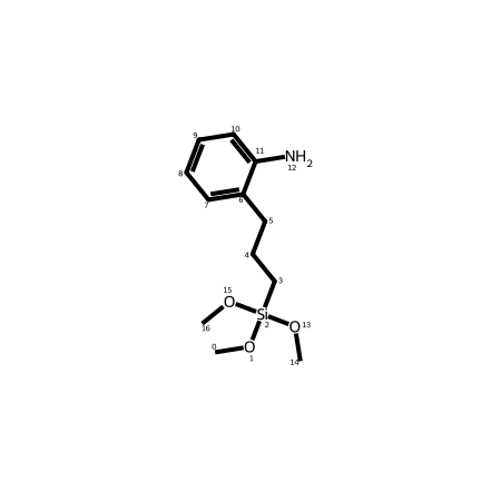 CO[Si](CCCc1ccccc1N)(OC)OC